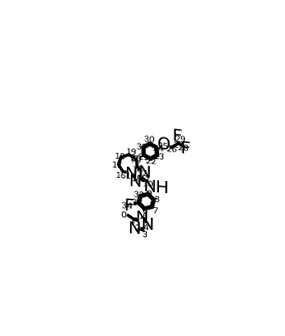 Cc1ncnn1-c1ccc(Nc2nc3n(n2)CCCC[C@@H]3c2ccc(OCC(F)F)cc2)cc1F